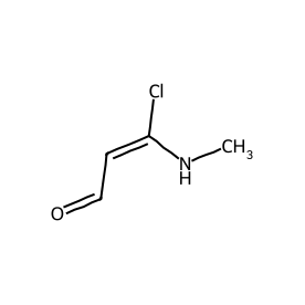 CN/C(Cl)=C\C=O